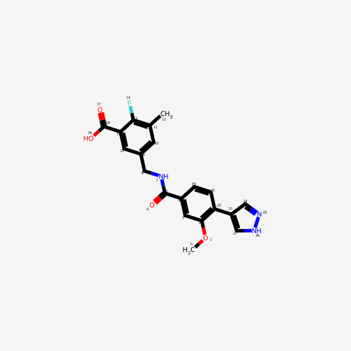 COc1cc(C(=O)NCc2cc(C)c(F)c(C(=O)O)c2)ccc1-c1cn[nH]c1